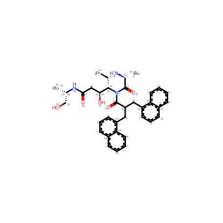 CC[C@H](C)[C@H](N)C(=O)N(C(=O)C(Cc1cccc2ccccc12)Cc1cccc2ccccc12)[C@@H](CC(C)C)[C@@H](O)CC(=O)N[C@H](CO)[C@@H](C)CC